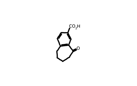 O=C(O)c1ccc2c(c1)C(=O)CCCC2